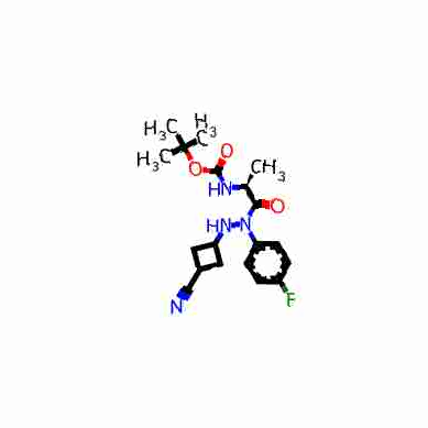 C[C@H](NC(=O)OC(C)(C)C)C(=O)N(NC1CC(C#N)C1)c1ccc(F)cc1